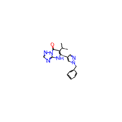 CC(C)c1c(-c2cnn(Cc3ccccc3)c2)[nH]c2ncnn2c1=O